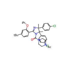 CC(=O)N1CCN(C(=O)N2C(c3ccc(C(C)(C)C)cc3OC(C)C)=NC(C)(c3ccc(Cl)cc3)C2(C)c2ccc(Cl)cc2)CC1